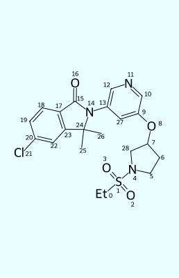 CCS(=O)(=O)N1CCC(Oc2cncc(N3C(=O)c4ccc(Cl)cc4C3(C)C)c2)C1